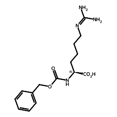 NC(N)=NCCCC[C@H](NC(=O)OCc1ccccc1)C(=O)O